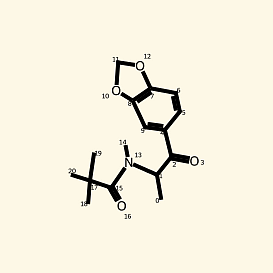 CC(C(=O)c1ccc2c(c1)OCO2)N(C)C(=O)C(C)(C)C